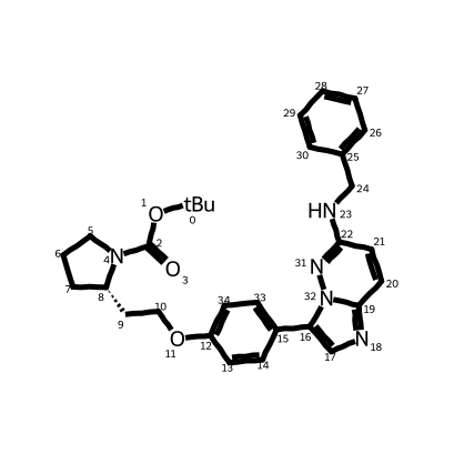 CC(C)(C)OC(=O)N1CCC[C@H]1CCOc1ccc(-c2cnc3ccc(NCc4ccccc4)nn23)cc1